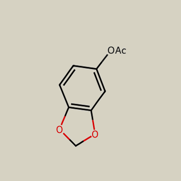 CC(=O)Oc1ccc2c(c1)OCO2